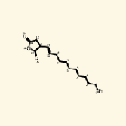 CC(C)CCCCCCCCCC=CC1CC(=O)OC1=O